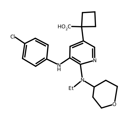 CCN(c1ncc(C2(C(=O)O)CCC2)cc1Nc1ccc(Cl)cc1)C1CCOCC1